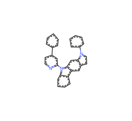 c1ccc(-c2ccnc(-n3c4ccccc4c4cc5ccn(-c6ccccc6)c5cc43)c2)cc1